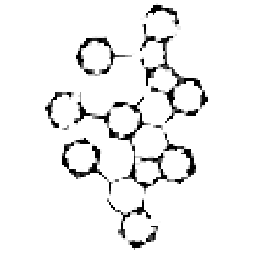 c1ccc(C2Cc3cccnc3-c3c2n2c4c(cccc34)B3c4c-2cc(-c2ncccn2)cc4-n2c4c3cccc4c3c4nccnc4n(-c4ccccc4)c32)cc1